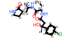 CC(C)C[C@H](NC(=O)C[C@@](C)(O)c1ccc(Cl)cc1)C(=O)N[C@H](C#N)C[C@@H]1CCNC1=O